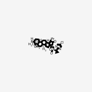 CC(C)C1=C2[C@H]3CC[C@@H]4[C@@]5(C)CC[C@H](C)C(C)(C)[C@@H]5CC[C@@]4(C)[C@]3(C)CC[C@@]2(C2CN(C3(c4ncc(Cl)cn4)CC3)C(=O)O2)CC1=O